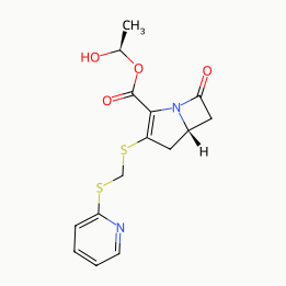 C[C@H](O)OC(=O)C1=C(SCSc2ccccn2)C[C@H]2CC(=O)N12